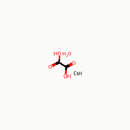 O.O=C(O)C(=O)O.[CsH]